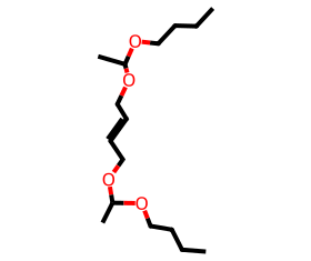 CCCCOC(C)OCC=CCOC(C)OCCCC